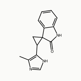 Cc1nc[nH]c1C1CC12C(=O)Nc1ccccc12